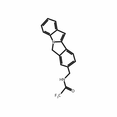 O=C(NCc1ccc2c(c1)Cn1c-2cc2ccccc21)C(F)(F)F